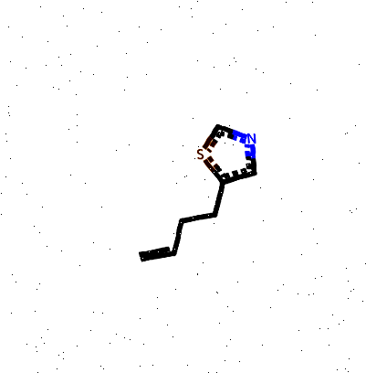 C=CCCc1cncs1